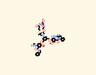 CCNc1cc(OCc2cc(COc3cc4c(cc3OC)C(=O)N3c5ccccc5C[C@H]3CN4)cc(N(CCOCCOCCOC)CC(C)(C)SCCCC(N)=O)c2)c(OC)cc1C(=O)N1CCc2ccccc21